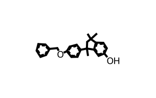 CC1(C)CC(C)(c2ccc(OCc3ccccc3)cc2)c2cc(O)ccc21